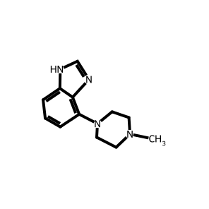 CN1CCN(c2cccc3[nH]cnc23)CC1